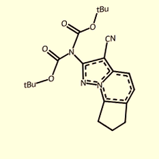 CC(C)(C)OC(=O)N(C(=O)OC(C)(C)C)c1nn2c3c(ccc2c1C#N)CCC3